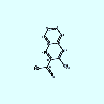 Cc1nc2ccccc2nc1C(=O)O